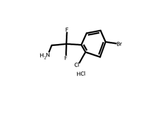 Cl.NCC(F)(F)c1ccc(Br)cc1Cl